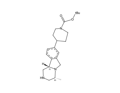 C[C@@H]1CNC[C@@H]2c3ccc(C4CCN(C(=O)OC(C)(C)C)CC4)cc3CN12